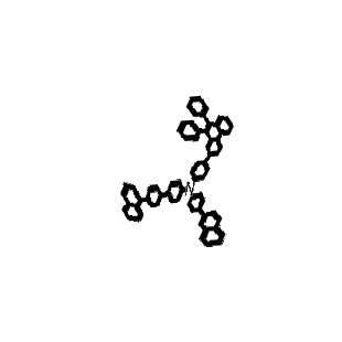 c1ccc(-c2c(-c3ccccc3)c3cc(-c4ccc(N(c5ccc(-c6ccc(-c7cccc8ccccc78)cc6)cc5)c5ccc(-c6ccc7ccccc7c6)cc5)cc4)ccc3c3ccccc23)cc1